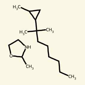 CC1NCCO1.CCCCCCC(C)(C)C1CC1C